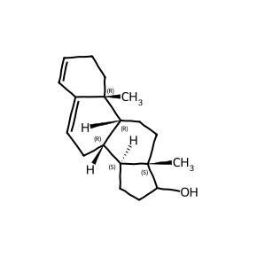 C[C@]12CCC=CC1=CC[C@@H]1[C@H]2CC[C@]2(C)C(O)CC[C@@H]12